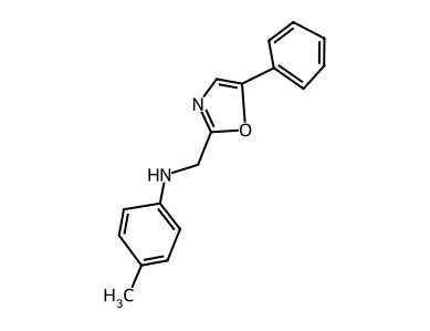 Cc1ccc(NCc2ncc(-c3ccccc3)o2)cc1